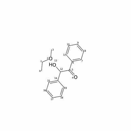 CCOC.O=C(c1ccccc1)C(O)c1ccccc1